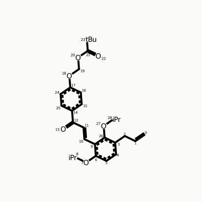 C=CCc1ccc(OC(C)C)c(C=CC(=O)c2ccc(OCOC(=O)C(C)(C)C)cc2)c1OC(C)C